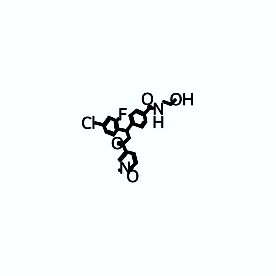 Cn1cc(C(=O)CC(c2ccc(C(=O)NCCO)cc2)c2ccc(Cl)cc2F)ccc1=O